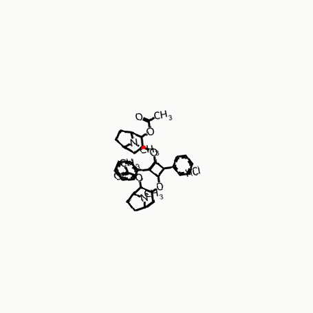 CC(=O)OC1C(OC2C(c3ccccc3)C(OC3CC4CCC(C3OC(C)=O)N4C)C2c2ccccc2)CC2CCC1N2C.Cl